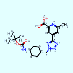 Cc1cc(-c2nnn(C[C@H]3CC[C@@H](NC(=O)OC(C)(C)C)CC3)n2)cc(C(=O)O)n1